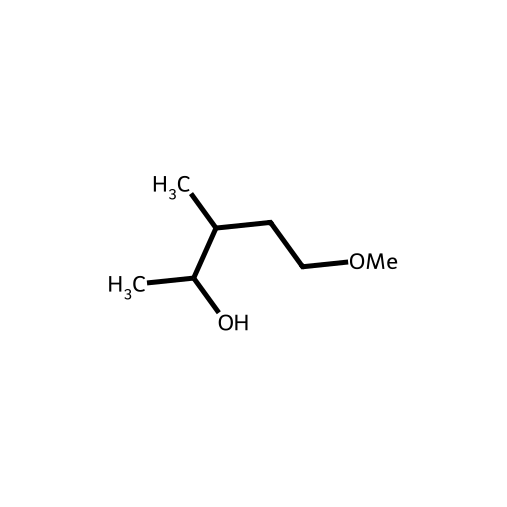 COCCC(C)C(C)O